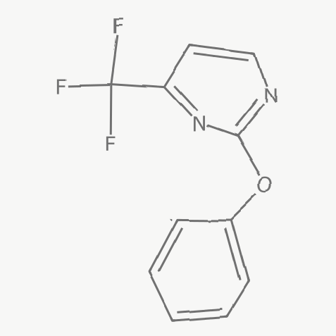 FC(F)(F)c1ccnc(Oc2[c]cccc2)n1